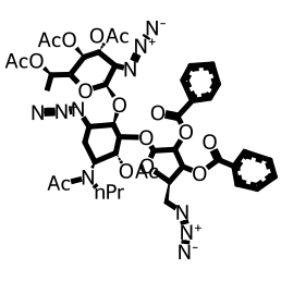 CCCN(C(C)=O)[C@@H]1CC(N=[N+]=[N-])[C@@H](O[C@H]2OC([C@@H](C)OC(C)=O)[C@@H](OC(C)=O)[C@H](OC(C)=O)C2N=[N+]=[N-])C(OC2O[C@H](CN=[N+]=[N-])C(OC(=O)c3ccccc3)C2OC(=O)c2ccccc2)[C@@H]1OC(C)=O